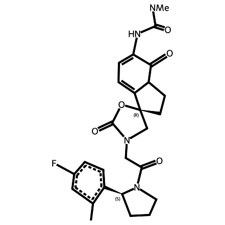 CNC(=O)NC1=CC=C2C(CC[C@]23CN(CC(=O)N2CCC[C@H]2c2ccc(F)cc2C)C(=O)O3)C1=O